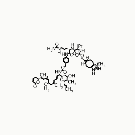 C/C=C/[C@@H]1O[C@H]([C@H](/C=C/C=C(\C)C[C@@H](C)/C=C\C=C(/C)[C@H]2CC=CC(=O)O2)NC(=O)OCc2ccc(NC(=O)[C@H](CCCNC(N)=O)NC(=O)[C@@H](NC(=O)OC[C@@H]3[C@@H]4CCC5=C(CC[C@@H]43)N(C)NN5)C(C)C)cc2)C[C@@H](O)[C@@H]1C